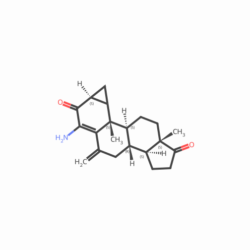 C=C1C[C@H]2[C@@H]3CCC(=O)[C@@]3(C)CC[C@@H]2[C@]2(C)C1=C(N)C(=O)[C@H]1CC12